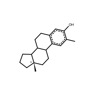 Cc1cc2c(cc1O)CCC1C2CC[C@]2(C)CCCC12